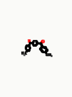 Cc1ccc(C(=O)c2ccc(C(=O)c3ccc(C)cc3)cc2)cc1